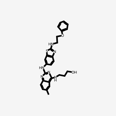 Cc1ccc2nc(Nc3ccc4nc(NCCOc5ccccc5)sc4c3)nc(NCCCO)c2c1